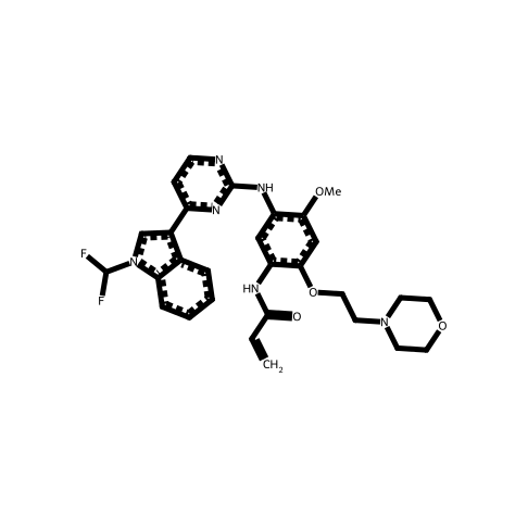 C=CC(=O)Nc1cc(Nc2nccc(-c3cn(C(F)F)c4ccccc34)n2)c(OC)cc1OCCN1CCOCC1